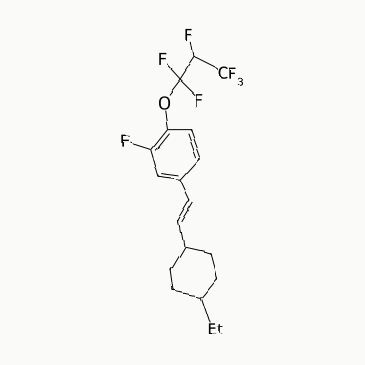 CCC1CCC(C=Cc2ccc(OC(F)(F)C(F)C(F)(F)F)c(F)c2)CC1